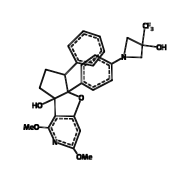 COc1cc2c(c(OC)n1)C1(O)CCC(c3ccccc3)C1(c1ccc(N3CC(O)(C(F)(F)F)C3)cc1)O2